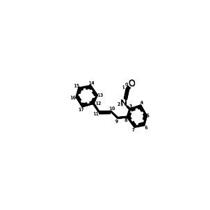 O=C=Nc1ccccc1C/C=C/c1ccccc1